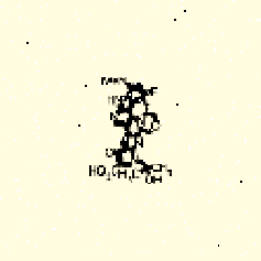 CNc1cc(F)c(F)c2c1[nH]c1ncc(-c3cnc4c(c3)c(=O)c(C(=O)O)cn4CC(C)(C)O)c(N3CCOCC3)c12